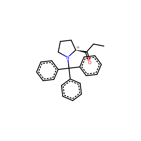 CCC(=O)[C@@H]1CCCN1C(c1ccccc1)(c1ccccc1)c1ccccc1